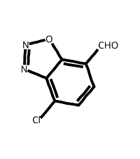 O=Cc1ccc(Cl)c2nnoc12